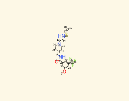 COc1cc(C(=O)NCC2CCN(CCNSC3CC3)CC2)cc(C(F)(F)F)c1